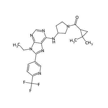 CCn1c(-c2ccc(C(F)(F)F)nc2)nc2c(NC3CCN(C(=O)C4CC4(C)C)C3)ncnc21